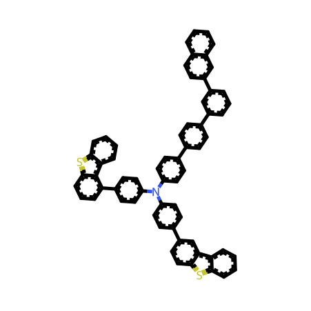 c1cc(-c2ccc(-c3ccc(N(c4ccc(-c5ccc6sc7ccccc7c6c5)cc4)c4ccc(-c5cccc6sc7ccccc7c56)cc4)cc3)cc2)cc(-c2ccc3ccccc3c2)c1